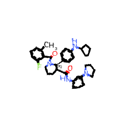 Cc1cccc(F)c1C(=O)N1CCCC(C(=O)Nc2cccc(N3CCCC3)c2)[C@@H]1c1ccc(NC2CCCC2)cc1